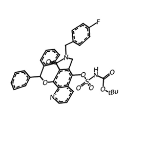 CC(C)(C)OC(=O)NS(=O)(=O)Oc1c2c(c(OC(c3ccccc3)c3ccccc3)c3ncccc13)C(=O)N(Cc1ccc(F)cc1)C2